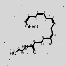 CCCCC/C=C\C/C=C\C/C=C\C/C=C(/C)CCCC(=O)NCCO